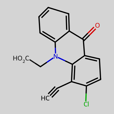 C#Cc1c(Cl)ccc2c(=O)c3ccccc3n(CC(=O)O)c12